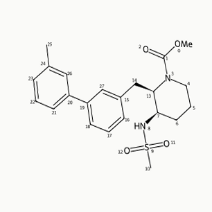 COC(=O)N1CCC[C@@H](NS(C)(=O)=O)[C@H]1Cc1cccc(-c2cccc(C)c2)c1